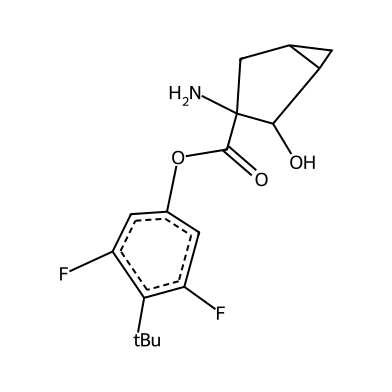 CC(C)(C)c1c(F)cc(OC(=O)C2(N)CC3CC3C2O)cc1F